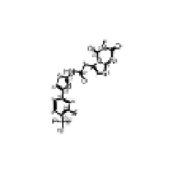 Cn1c(=O)nc2scc(CC(=O)Nc3nc(-c4ccc(C(F)(F)F)c(F)c4)cs3)n2c1=O